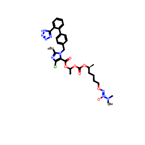 CCCCc1nc(Cl)c(C(=O)OC(C)OC(=O)O[C@@H](C)CCCCO/N=[N+](\[O-])N(C)C(C)(C)C)n1Cc1ccc(-c2ccccc2-c2nnn[nH]2)cc1